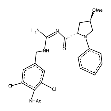 CO[C@@H]1C[C@@H](C(=O)/N=C(/N)NCc2cc(Cl)c(NC(C)=O)c(Cl)c2)N(c2ccccc2)C1